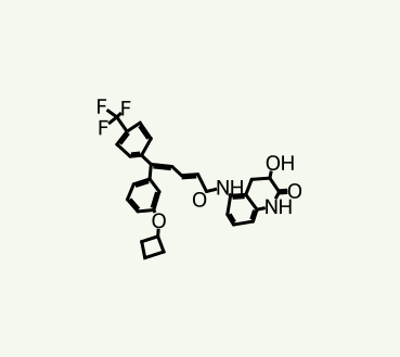 O=C(/C=C/C=C(/c1ccc(C(F)(F)F)cc1)c1cccc(OC2CCC2)c1)Nc1cccc2c1CC(O)C(=O)N2